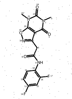 Cn1c(=O)c2c(CC(=O)Nc3ccc(F)cc3F)noc2n(C)c1=O